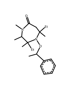 CCC1(C)CC(=O)N(C)C(C)C(C)(CC)N1OC(C)c1ccccc1